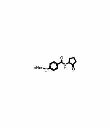 CCCCCCCCCOc1ccc(C(=O)NC2CCCC2=O)cc1